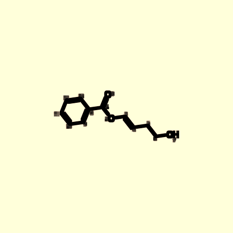 O=C(O/C=C/CCO)c1ccccc1